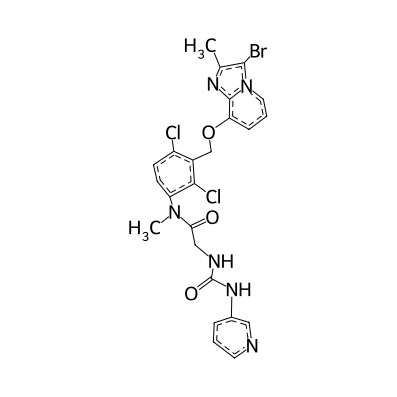 Cc1nc2c(OCc3c(Cl)ccc(N(C)C(=O)CNC(=O)Nc4cccnc4)c3Cl)cccn2c1Br